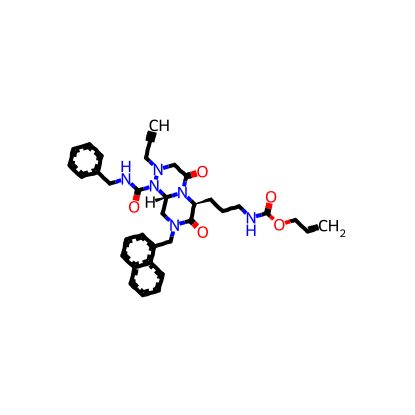 C#CCN1CC(=O)N2[C@@H](CCCNC(=O)OCC=C)C(=O)N(Cc3cccc4ccccc34)C[C@@H]2N1C(=O)NCc1ccccc1